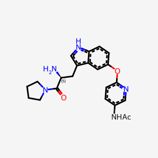 CC(=O)Nc1ccc(Oc2ccc3[nH]cc(C[C@H](N)C(=O)N4CCCC4)c3c2)nc1